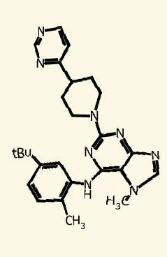 Cc1ccc(C(C)(C)C)cc1Nc1nc(N2CCC(c3ccncn3)CC2)nc2ncn(C)c12